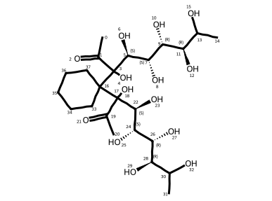 CC(=O)C(O)([C@@H](O)[C@@H](O)[C@H](O)[C@H](O)C(C)O)C1(C(O)(C(C)=O)[C@@H](O)[C@@H](O)[C@H](O)[C@H](O)C(C)O)CCCCC1